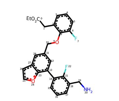 CCOC(=O)Cc1cccc(F)c1OCc1cc(-c2cccc(CN)c2F)c2occc2c1